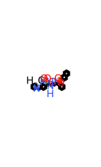 CN1c2cc(CN3CCCCC3)ccc2[C@H](NC(=O)C[C@@H](NS(=O)(=O)c2ccc3ccccc3c2)c2ccccc2)CS1(=O)=O